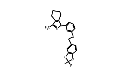 FC1(F)Oc2ccc(COc3cccc(-n4nc(C(F)(F)F)c5c4CCCC5)c3)cc2O1